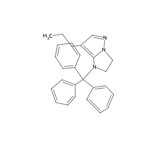 [CH2]CCc1cnn2c1N(C(c1ccccc1)(c1ccccc1)c1ccccc1)CC2